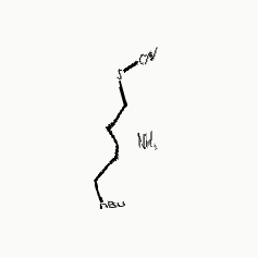 CCCCCCCCSC#N.N